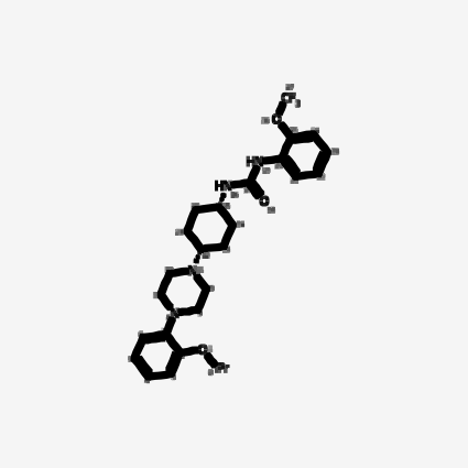 CC(C)Oc1ccccc1N1CCN([C@H]2CC[C@@H](NC(=O)Nc3ccccc3OC(F)(F)F)CC2)CC1